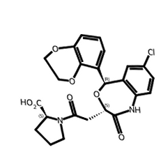 O=C1Nc2ccc(Cl)cc2[C@H](c2cccc3c2OCCO3)O[C@H]1CC(=O)N1CCC[C@H]1C(=O)O